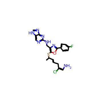 CC(/C=C/C/C(Cl)=C\N)Sc1oc(-c2ccc(F)cc2)nc1CNc1ncc2[nH]cnc2n1